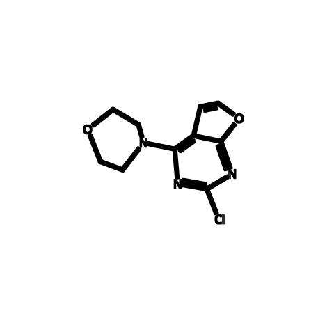 Clc1nc(N2CCOCC2)c2ccoc2n1